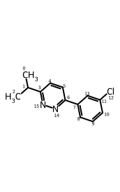 CC(C)c1ccc(-c2cccc(Cl)c2)nn1